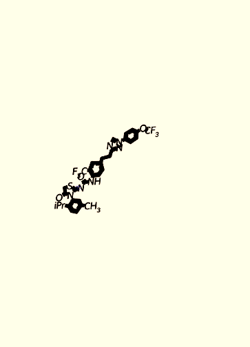 Cc1ccc(C(C)C)c(N2C(=O)CS/C2=N\C(=O)Nc2ccc(CCc3ncn(-c4ccc(OC(F)(F)F)cc4)n3)cc2C(F)(F)F)c1